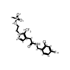 CS(=O)(=O)OCCn1ncc(CC(=O)NCc2ccc(F)cc2Cl)c1C(F)(F)F